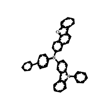 c1ccc(-c2ccc(N(c3ccc4c(ccc5c6ccccc6oc45)c3)c3ccc4c(c3)c3ccccc3n4-c3ccccc3)cc2)cc1